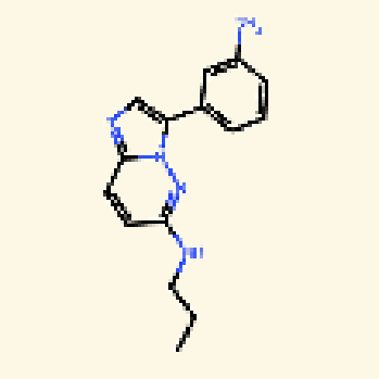 CCCNc1ccc2ncc(-c3cccc(N)c3)n2n1